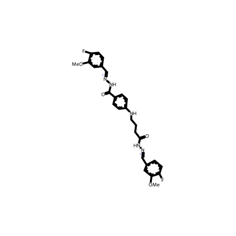 COc1cc(/C=N/NC(=O)CCCNc2ccc(C(=O)N/N=C/c3ccc(F)c(OC)c3)cc2)ccc1F